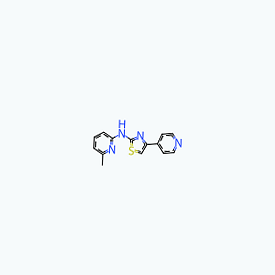 Cc1cccc(Nc2nc(-c3ccncc3)cs2)n1